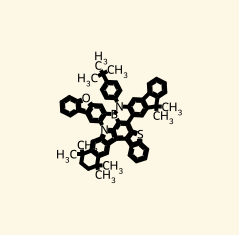 CC(C)(C)c1ccc(N2B3c4cc5oc6ccccc6c5cc4-n4c5cc6c(cc5c5c7c(sc8ccccc87)c(c3c54)-c3cc4c(cc32)-c2ccccc2C4(C)C)C(C)(C)CCC6(C)C)cc1